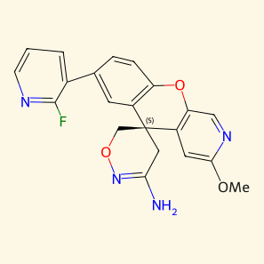 COc1cc2c(cn1)Oc1ccc(-c3cccnc3F)cc1[C@]21CON=C(N)C1